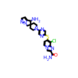 NC(=O)c1cn2ccc(Sc3cnc(N4CCC5(CC4)Cn4nccc4[C@H]5N)cn3)c(Cl)c2n1